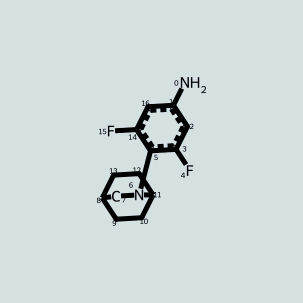 Nc1cc(F)c(N2CC3CCC2CC3)c(F)c1